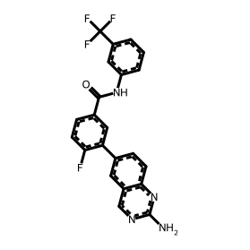 Nc1ncc2cc(-c3cc(C(=O)Nc4cccc(C(F)(F)F)c4)ccc3F)ccc2n1